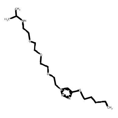 CCCCCSc1cn(CCOCCOCCOCCNC(C)C)nn1